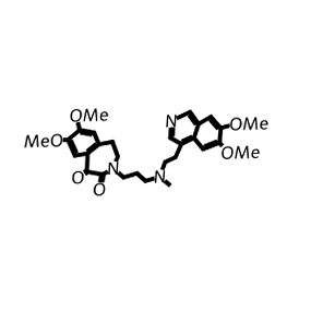 COc1cc2c(cc1OC)C(=O)C(=O)N(CCCN(C)CCc1cncc3cc(OC)c(OC)cc13)CC2